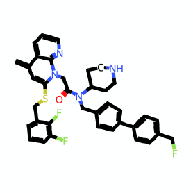 C=C1C=C(SCc2cccc(F)c2F)N(CC(=O)N(Cc2ccc(-c3ccc(CF)cc3)cc2)C2CCNCC2)c2ncccc21